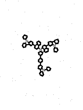 c1ccc(-n2c3ccccc3c3cc(-c4ccc(N(c5ccc(-c6ccc(-c7ccc8c9ccccc9n(-c9ccccc9)c8c7)cc6)cc5)c5ccc(-c6ccc7c8ccccc8n(-c8ccccc8)c7c6)c6ccccc56)c5ccccc45)ccc32)cc1